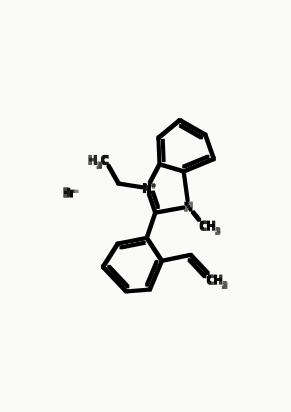 C=Cc1ccccc1-c1n(C)c2ccccc2[n+]1CC.[Br-]